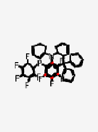 FC1=C(F)C(F)C(P(C2=C(N3c4ccccc4C(c4ccccc4)(c4ccccc4)C4C=CC=CC43)CCC=C2)c2c(F)c(F)c(F)c(F)c2F)C(F)=C1F